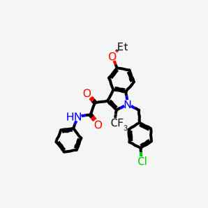 CCOc1ccc2c(c1)c(C(=O)C(=O)Nc1ccccc1)c(C(F)(F)F)n2Cc1ccc(Cl)cc1